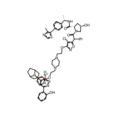 Cc1ncsc1-c1ccc([C@H](C)NC(=O)[C@@H]2C[C@@H](O)CN2C(=O)C(c2onc(OCCN3CCN(CCOc4cc(N5C6CCC5CN(c5cc(-c7ccccc7O)nnc5N)C6)ccn4)CC3)c2Cl)C(C)C)cc1